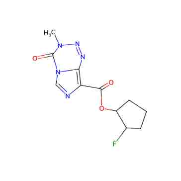 Cn1nnc2c(C(=O)OC3CCCC3F)ncn2c1=O